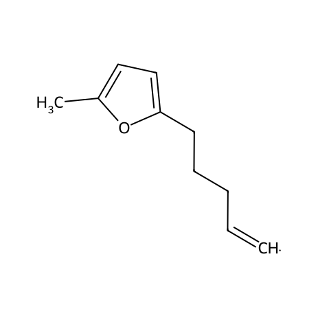 [CH]=CCCCc1ccc(C)o1